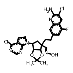 CC1(C)OC2C(n3ccc4c(Cl)ncnc43)CC(C=NO)(CCc3cc(F)c4cc(Cl)c(N)nc4c3)C2O1